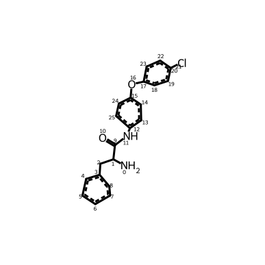 NC(Cc1ccccc1)C(=O)Nc1ccc(Oc2ccc(Cl)cc2)cc1